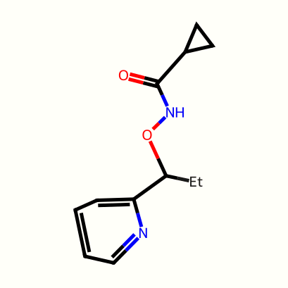 CCC(ONC(=O)C1CC1)c1ccccn1